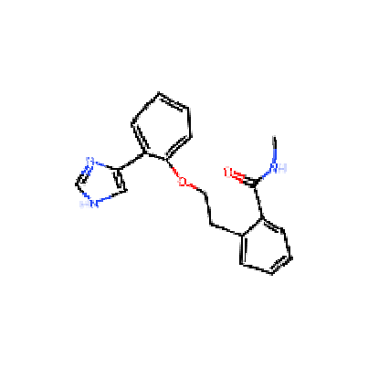 CNC(=O)c1ccccc1CCOc1ccccc1-c1c[nH]cn1